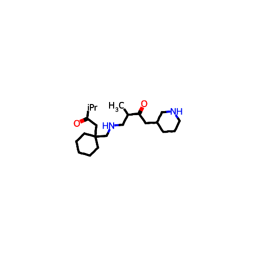 CC(C)C(=O)CC1(CNCC(C)C(=O)CC2CCCNC2)CCCCC1